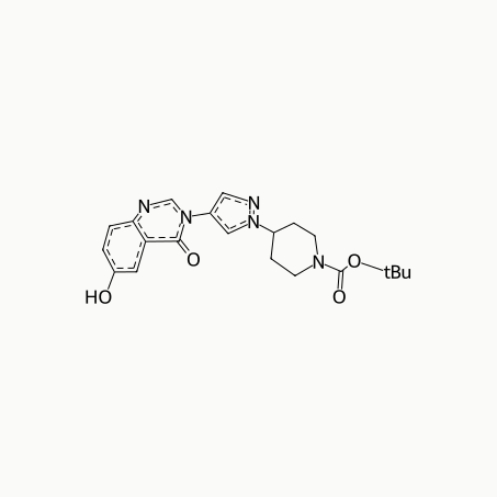 CC(C)(C)OC(=O)N1CCC(n2cc(-n3cnc4ccc(O)cc4c3=O)cn2)CC1